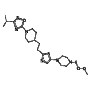 COOSN1CCN(c2cnc(CCC3CCN(c4nc(C(C)C)no4)CC3)s2)CC1